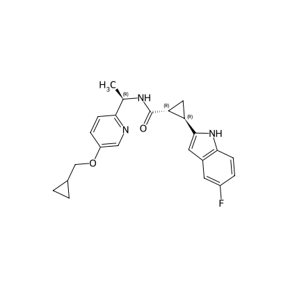 C[C@@H](NC(=O)[C@@H]1C[C@H]1c1cc2cc(F)ccc2[nH]1)c1ccc(OCC2CC2)cn1